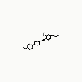 CC[C@H]1CC[C@H]([C@H]2CC[C@H](C#Cc3ccc(CCF)cc3F)CC2)CC1